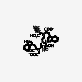 O=C([O-])CN(CCN(CCN(CC(=O)O)[C@@H](Cc1c[nH]c2ccccc12)C(=O)[O-])CP(=O)(O)O)[C@@H](Cc1c[nH]c2ccccc12)C(=O)[O-].[Na+].[Na+].[Na+]